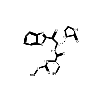 CC(C)C[C@H](NC(=O)OC(C)(C)C)C(=O)N[C@@H](C[C@@H]1CCNC1=O)C(=O)c1nc2ccccc2s1